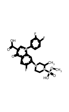 COP(=O)(O)N1CCN(c2cc3c(cc2F)c(=O)c(C(=O)O)cn3-c2ccc(F)c(F)c2)CC1C